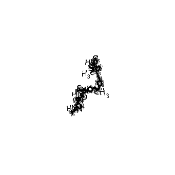 CN(CC1CCC(n2cc(NC(=O)c3coc(-c4ccnc(NCC5CC5)c4)n3)c(C(F)F)n2)CC1)CC1CCN(CCCCc2cccc3c2n(C)c(=O)n3C2CCC(=O)NC2=O)CC1